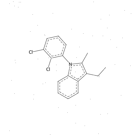 CCc1c(C)n(-c2cccc(Cl)c2Cl)c2ccccc12